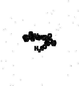 CCOc1cccc(-c2ccccc2CCC(=O)N2CCN(c3ccc(C(=O)NS(=O)(=O)CC45CC6CC(CC(C6)C4)C5)cc3)CC2)c1